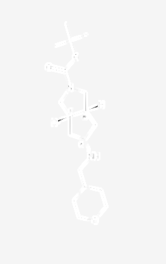 CC(C)(C)OC(=O)N1C[C@H]2C[C@@H](NCC3CCOCC3)C[C@H]2C1